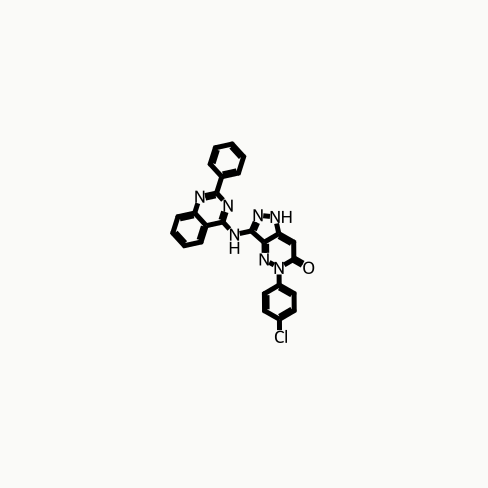 O=c1cc2[nH]nc(Nc3nc(-c4ccccc4)nc4ccccc34)c2nn1-c1ccc(Cl)cc1